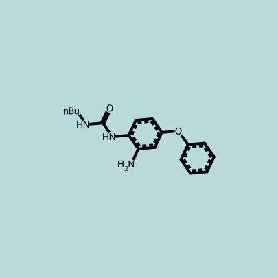 CCCCNC(=O)Nc1ccc(Oc2ccccc2)cc1N